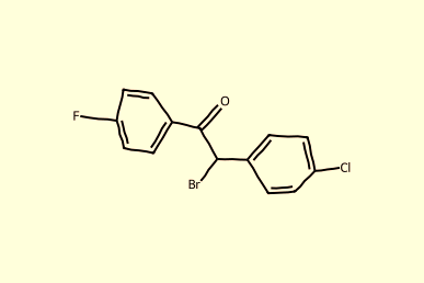 O=C(c1ccc(F)cc1)C(Br)c1ccc(Cl)cc1